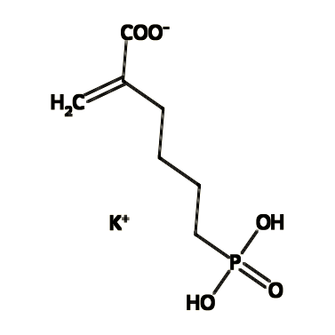 C=C(CCCCP(=O)(O)O)C(=O)[O-].[K+]